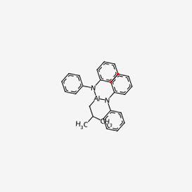 CC(C)[CH2][Al]([N](c1ccccc1)c1ccccc1)[N](c1ccccc1)c1ccccc1